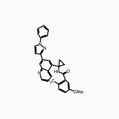 COc1ccc(C)c(C(=O)NC2(c3cc(-c4ccn(-c5ccccc5)n4)cc4ncccc34)CC2)c1